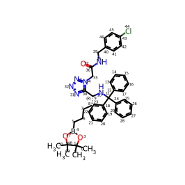 CC1(C)OB(CCCC[C@@H](NC(c2ccccc2)(c2ccccc2)c2ccccc2)c2nnnn2CC(=O)NCc2ccc(Cl)cc2)OC1(C)C